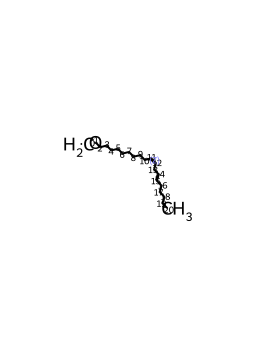 [CH2]OCCCCCCCCC/C=C\CC=CCCCCC